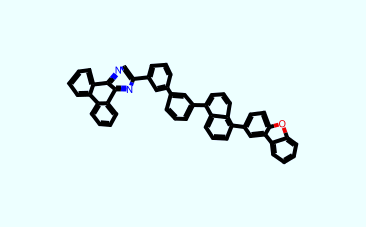 c1cc(-c2cccc(-c3cccc4c(-c5ccc6oc7ccccc7c6c5)cccc34)c2)cc(-c2cnc3c4ccccc4c4ccccc4c3n2)c1